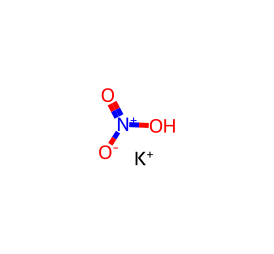 O=[N+]([O-])O.[K+]